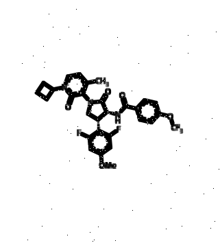 COc1cc(F)c([C@@H]2CN(c3c(C)ccn(C4CCC4)c3=O)C(=O)[C@H]2NC(=O)c2ccc(OC(F)(F)F)cc2)c(F)c1